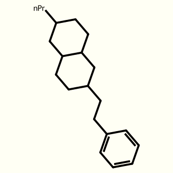 CCCC1CCC2CC(CCc3ccccc3)CCC2C1